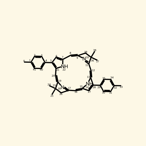 Cc1ccc(-c2cc3cc4nc(cc5[nH]c(cc6nc(cc2[nH]3)C(C)(C)C6)cc5-c2ccc(C)cc2)C(C)(C)C4)cc1